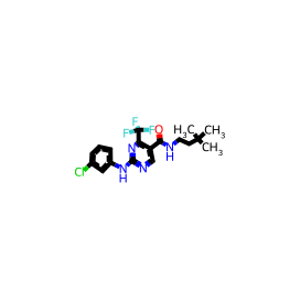 CC(C)(C)CCNC(=O)c1cnc(Nc2cccc(Cl)c2)nc1C(F)(F)F